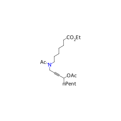 CCCCCC(C#CCN(CCCCCCC(=O)OCC)C(C)=O)OC(C)=O